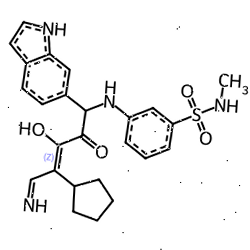 CNS(=O)(=O)c1cccc(NC(C(=O)/C(O)=C(/C=N)C2CCCC2)c2ccc3cc[nH]c3c2)c1